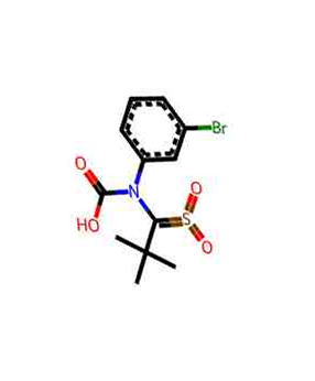 CC(C)(C)C(N(C(=O)O)c1cccc(Br)c1)=S(=O)=O